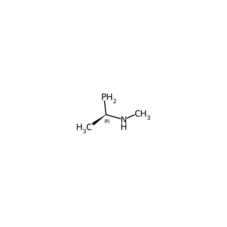 CN[C@@H](C)P